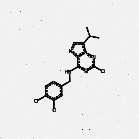 CC(C)c1cnc2c(NCc3ccc(Cl)c(Cl)c3)nc(Cl)nn12